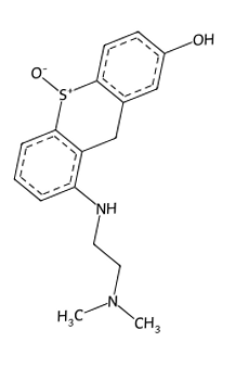 CN(C)CCNc1cccc2c1Cc1cc(O)ccc1[S+]2[O-]